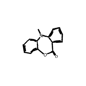 CN1c2ccccc2OC(=O)c2ccccc21